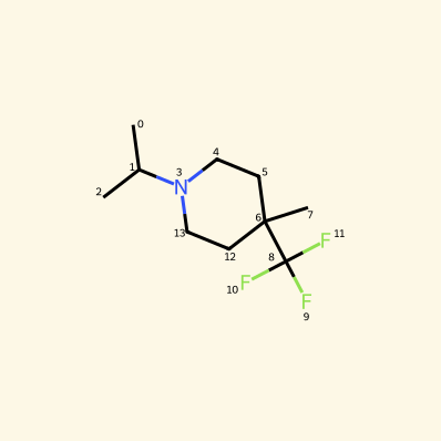 CC(C)N1CCC(C)(C(F)(F)F)CC1